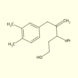 C=C(Cc1ccc(C)c(C)c1)C(CCC)CCO